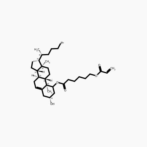 C=CC(=O)OCCCCCC(=O)OC1C[C@H](O)CC2=CC[C@H]3[C@@H]4CC[C@H]([C@H](C)CCCC(C)C)[C@@]4(C)CC[C@@H]3[C@]21C